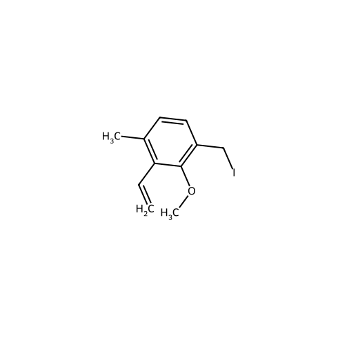 C=Cc1c(C)ccc(CI)c1OC